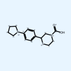 O=C(O)N1CCSC(c2ccc(N3CCCC3)cc2)C1